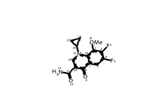 COc1c(F)c(F)cc2c(=O)c(C(N)=O)cn(C3CC3)c12